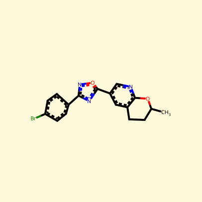 CC1CCc2cc(-c3nc(-c4ccc(Br)cc4)no3)cnc2O1